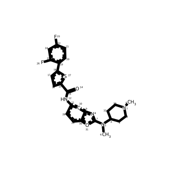 CN1CCC(N(C)c2nc3cc(NC(=O)c4ccc(-c5ccc(F)cc5F)s4)ccc3o2)CC1